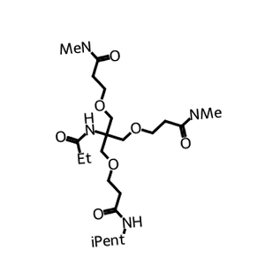 CCCC(C)NC(=O)CCOCC(COCCC(=O)NC)(COCCC(=O)NC)NC(=O)CC